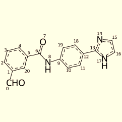 O=Cc1cccc(C(=O)Nc2ccc(-c3ncc[nH]3)cc2)c1